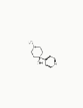 NN1CCC(O)(c2ccncc2)CC1